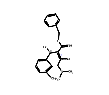 CN(C)C/C(O)=C(/C(=N)OCc1ccccc1)[C@H](O)c1cccc(O)c1